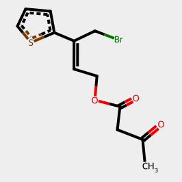 CC(=O)CC(=O)OCC=C(CBr)c1cccs1